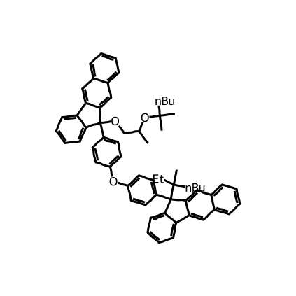 CCCCC(C)(C)OC(C)COC1(c2ccc(Oc3ccc(C4(C(C)(CC)CCCC)c5ccccc5-c5cc6ccccc6cc54)cc3)cc2)c2ccccc2-c2cc3ccccc3cc21